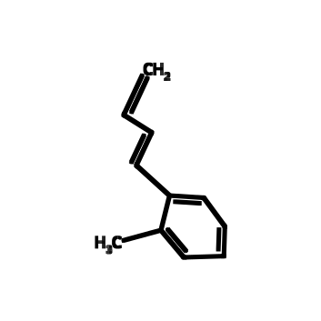 C=C/C=C/c1ccccc1C